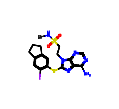 CCNS(=O)(=O)CCn1c(Sc2cc3c(cc2I)CCC3)nc2c(N)ncnc21